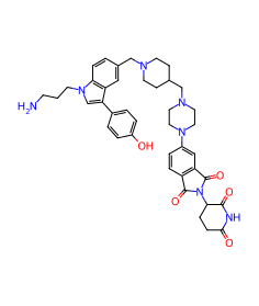 NCCCn1cc(-c2ccc(O)cc2)c2cc(CN3CCC(CN4CCN(c5ccc6c(c5)C(=O)N(C5CCC(=O)NC5=O)C6=O)CC4)CC3)ccc21